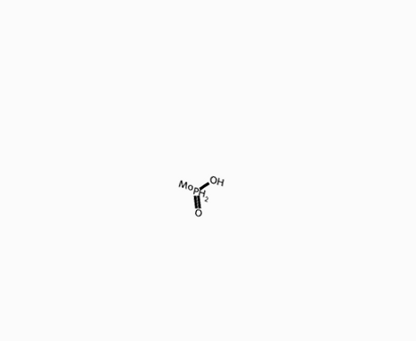 O=[PH2]O.[Mo]